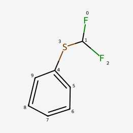 FC(F)Sc1ccccc1